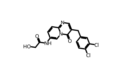 O=C(CO)Nc1ccc2ncc(Cc3ccc(Cl)c(Cl)c3)c(=O)n2c1